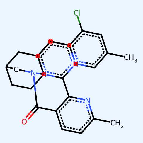 Cc1cnc(OC2CC3CCC2N(C(=O)c2ccc(C)nc2-c2ncccn2)C3)c(Cl)c1